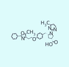 Cc1ccnc(N2C[C@H](C(=O)O)C[C@@H]2Cc2ccc(OCCc3nc(-c4ccccc4)oc3C)cc2)n1